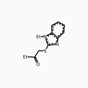 CCC(=O)CSc1nc2ccccc2n1CC